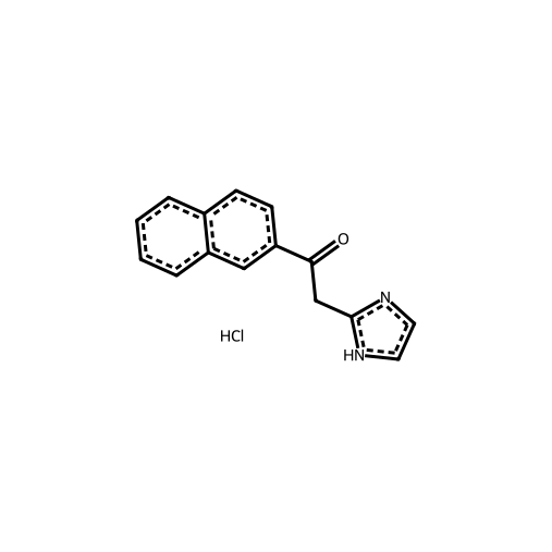 Cl.O=C(Cc1ncc[nH]1)c1ccc2ccccc2c1